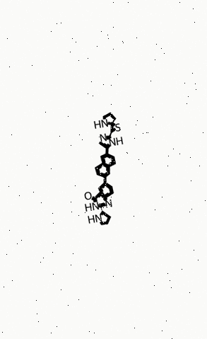 O=c1[nH]c([C@@H]2CCCN2)nc2ccc(-c3ccc4cc(-c5cnc([C@@H]6S[C@]67CCCN7)[nH]5)ccc4c3)cc12